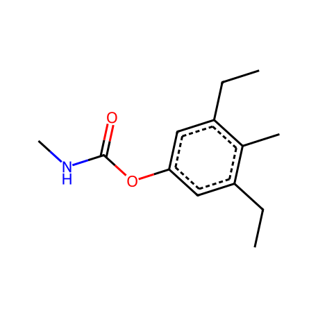 CCc1cc(OC(=O)NC)cc(CC)c1C